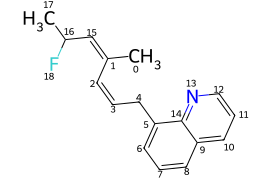 CC(/C=C\Cc1cccc2cccnc12)=C/C(C)F